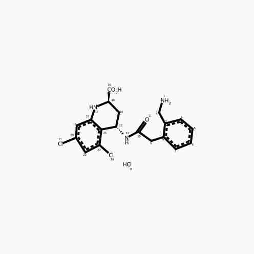 Cl.NCc1ccccc1CC(=O)N[C@H]1C[C@H](C(=O)O)Nc2cc(Cl)cc(Cl)c21